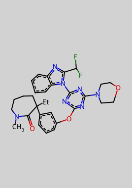 CCC1(c2cccc(Oc3nc(N4CCOCC4)nc(-n4c(C(F)F)nc5ccccc54)n3)c2)CCCCN(C)C1=O